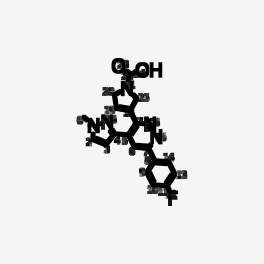 Cn1ccc(-c2cc(-c3ccc(F)cc3)nnc2C2=CCN(C(=O)O)C2)n1